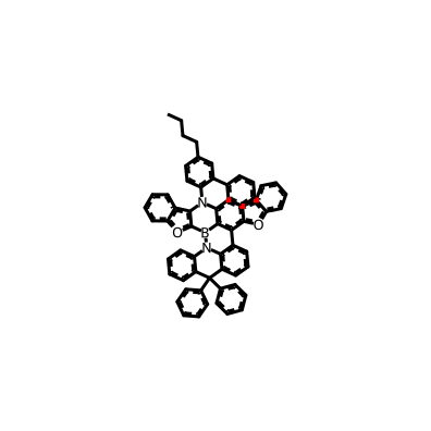 CCCCc1ccc(N2c3cc4c(oc5ccccc54)c4c3B(c3oc5ccccc5c32)N2c3ccccc3C(c3ccccc3)(c3ccccc3)c3cccc-4c32)c(-c2ccccc2)c1